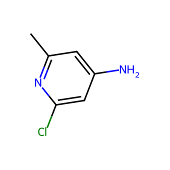 Cc1cc(N)cc(Cl)n1